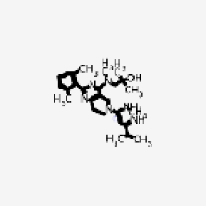 CN/C(=C\C(=N)C(C)C)N1CCc2nc(-c3c(C)cccc3C)nc(N(C)CC(C)(C)O)c2C1